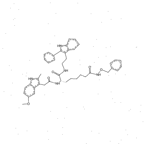 COc1ccc2[nH]c(C)c(CC(=O)N[C@@H](CCCCCC(=O)NOCc3ccccc3)C(=O)NCCc3c(-c4ccccc4)[nH]c4ccccc34)c2c1